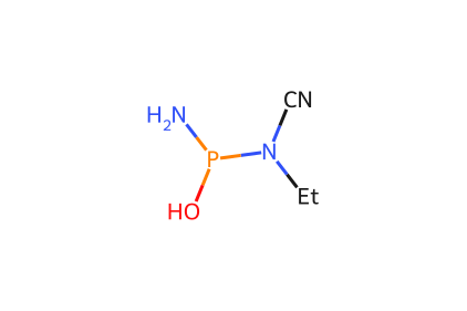 CCN(C#N)P(N)O